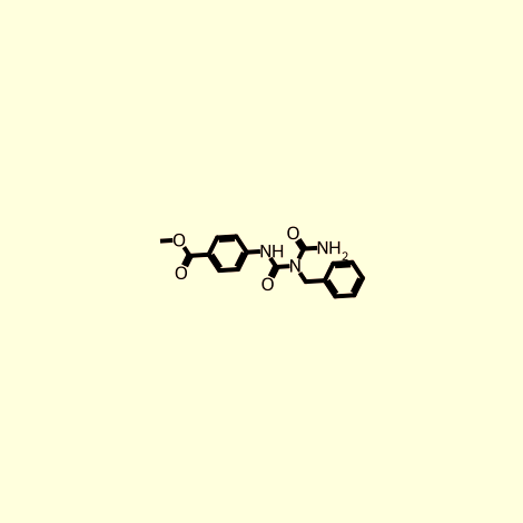 COC(=O)c1ccc(NC(=O)N(Cc2ccccc2)C(N)=O)cc1